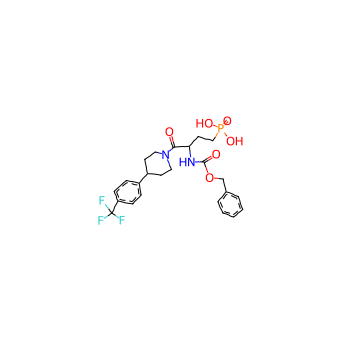 O=C(NC(CCP(=O)(O)O)C(=O)N1CCC(c2ccc(C(F)(F)F)cc2)CC1)OCc1ccccc1